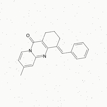 Cc1ccn2c(=O)c3c(nc2c1)C(=Cc1ccccc1)CCC3